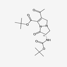 CC(=O)C1=C(C(=O)OC(C)(C)C)N2C(=O)[C@@H](NC(=O)OC(C)(C)C)CN2C1